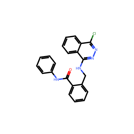 O=C(Nc1ccccc1)c1ccccc1CNc1nnc(Cl)c2ccccc12